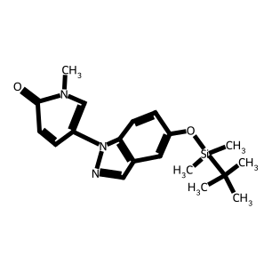 Cn1cc(-n2ncc3cc(O[Si](C)(C)C(C)(C)C)ccc32)ccc1=O